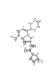 COC1=NC=C(C2CCOCC2)C2SC(NC(=O)c3cn(C)nn3)=NC12